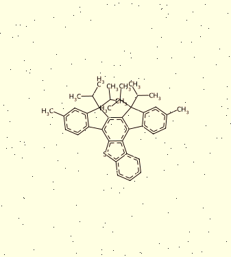 Cc1ccc2c(c1)C(C(C)C)(C(C)C)c1c3c(c4c(sc5ccccc54)c1-2)-c1ccc(C)cc1C3(C(C)C)C(C)C